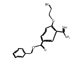 N=C(N)c1cc(C(=O)OCc2ccccc2)ccc1OCCBr